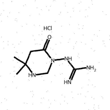 CC1(C)CC(=O)N(NC(=N)N)CN1.Cl